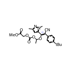 COC(=O)COC(=O)OC(C)O/C(=C(/C#N)c1ccc(C(C)(C)C)cc1)c1cc(C)nn1C